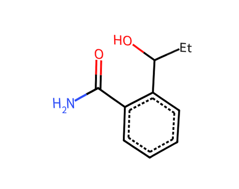 CCC(O)c1ccccc1C(N)=O